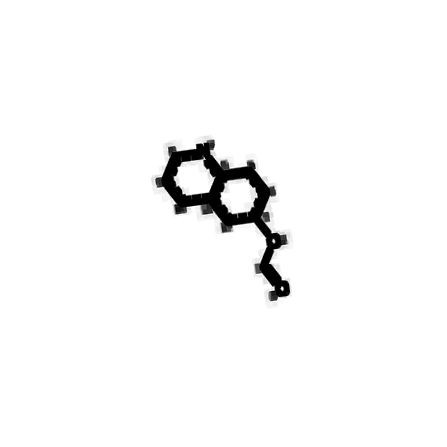 O=COc1ccc2ncccc2c1